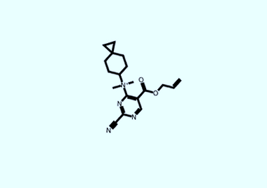 C=CCOC(=O)c1cnc(C#N)nc1[N+](C)(C)C1CCC2(CC1)CC2